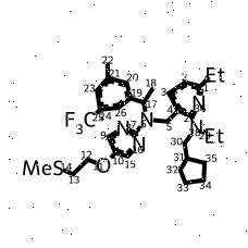 CCc1ccc(CN(c2ncc(OCCSC)cn2)C(C)c2cc(C)cc(C(F)(F)F)c2)c(N(CC)CC2CCCC2)n1